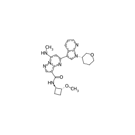 CNc1cc(-c2cn([C@H]3CCCOC3)c3ncccc23)nc2c(C(=O)N[C@@H]3CC[C@H]3OC)cnn12